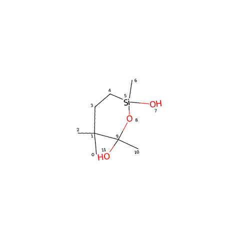 CC1(C)CC[Si](C)(O)OC1(C)O